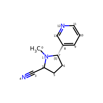 CN1C(C#N)CC[C@H]1c1cccnc1